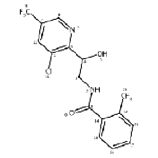 O=C(NCC(O)c1ncc(C(F)(F)F)cc1Cl)c1ccccc1C(F)(F)F